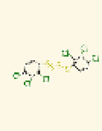 Clc1ccc(SSSSc2ccc(Cl)c(Cl)c2Cl)c(Cl)c1Cl